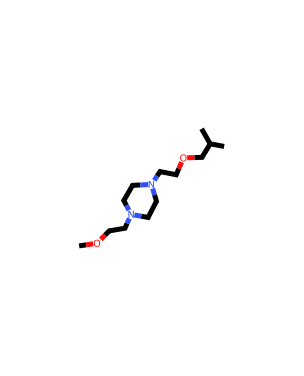 COCCN1CCN(CCOCC(C)C)CC1